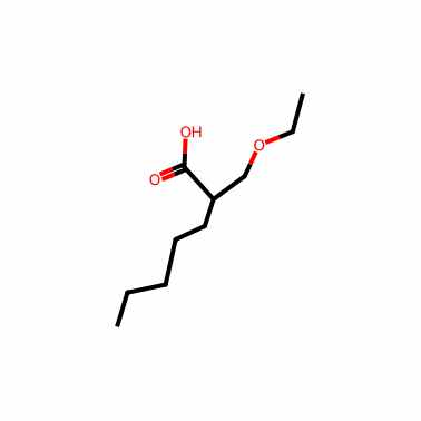 CCCCCC(COCC)C(=O)O